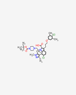 Cc1cc(OCCCc2c(C(=O)O)n(CCN3CCN(C(=O)OC(C)(C)C)CC3)c3c(-c4c(C)nn(C)c4C)c(Cl)ccc23)cc(C)c1Cl